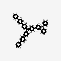 c1ccc(-c2ccc(-c3ccc(N(c4ccc(-c5ccc6c(c5)c5ccccc5n6-c5ccccc5)cc4)c4ccc5c(c4)oc4cc(-c6ccccc6)ccc45)cc3)cc2)cc1